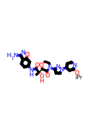 CC(C)Oc1cc(-n2ccc(N3CCO[C@H](C(C)(O)C(=O)Nc4ccc5c(N)noc5c4)C3=O)n2)ccn1